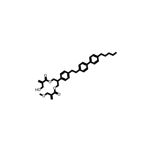 C=C(CO)C(=O)OCC(COC(=O)C(=C)COC)c1ccc(CCc2ccc(-c3ccc(CCCCC)cc3)cc2)cc1